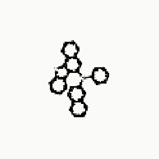 c1ccc(N(c2ccc3ccccc3c2)c2cc3ccccc3c3sc4ccccc4c23)cc1